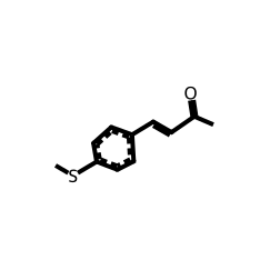 CSc1ccc(C=CC(C)=O)cc1